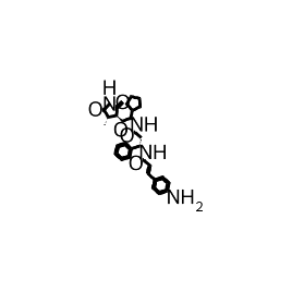 C[C@@H]1C(=O)NC(=O)[C@H]1C(=O)[C@@H](NC(=O)C[C@H](NC(=O)/C=C/c1ccc(N)cc1)c1ccccc1)C1CCCC1